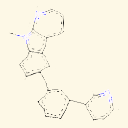 Cn1c2ccc(-c3cccc(-c4cccnc4)c3)cc2c2cccnc21